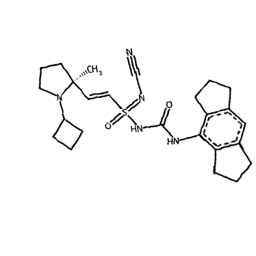 C[C@@]1(/C=C/S(=O)(=NC#N)NC(=O)Nc2c3c(cc4c2CCC4)CCC3)CCCN1C1CCC1